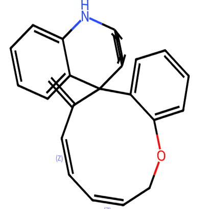 C=C1/C=C\C=C/COc2ccccc2C12c1ccccc1Nc1ccccc12